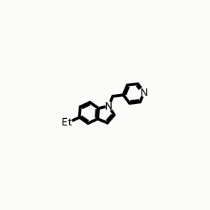 CCc1ccc2c(ccn2Cc2ccncc2)c1